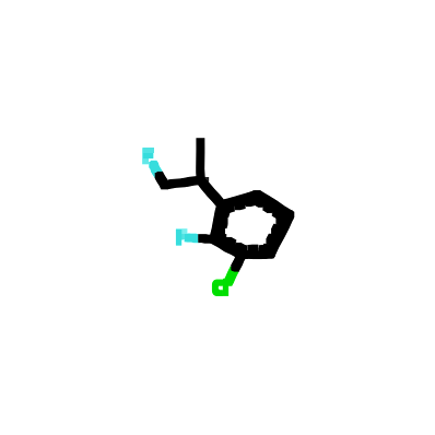 C[C](CF)c1cccc(Cl)c1F